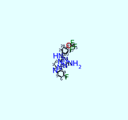 CCc1nc2ccc(F)cc2n1-c1nc(N)nc(Nc2ccc(OC(F)(F)F)cc2)n1